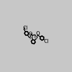 O=C(c1ccc(Cl)cc1)N1CC(=O)N(Cc2ccc(CCl)cc2)c2ccccc2C1